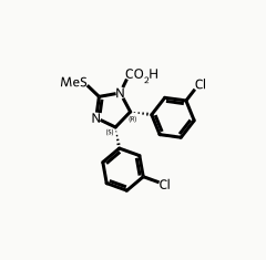 CSC1=N[C@@H](c2cccc(Cl)c2)[C@@H](c2cccc(Cl)c2)N1C(=O)O